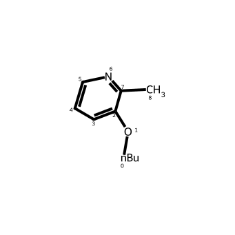 CCCCOc1cccnc1C